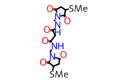 CSC1CC(=O)N(CNC(=O)CC(=O)NCN2C(=O)CC(SC)C2=O)C1=O